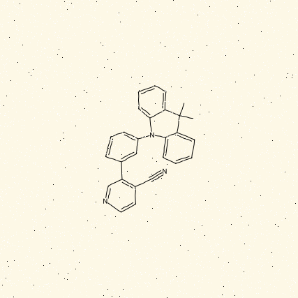 CC1(C)c2ccccc2N(c2cccc(-c3cnccc3C#N)c2)c2ccccc21